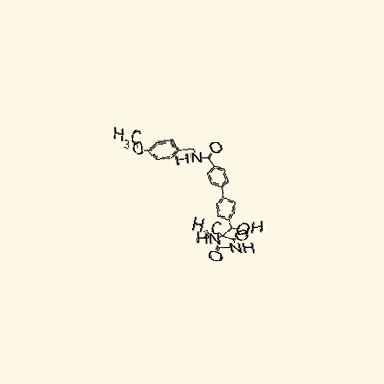 COc1ccc(CNC(=O)c2ccc(-c3ccc(C(O)C4(C)NC(=O)NC4=O)cc3)cc2)cc1